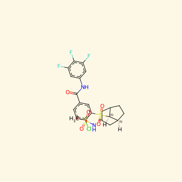 CS(=O)(=O)N[C@@H]1CC2CC[C@@H](C1)[C@H]2S(=O)(=O)c1cc(C(=O)Nc2cc(F)c(F)c(F)c2)ccc1Cl